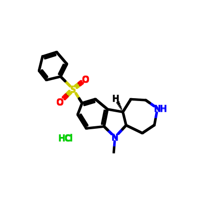 CN1c2ccc(S(=O)(=O)c3ccccc3)cc2[C@H]2CCNCCC21.Cl